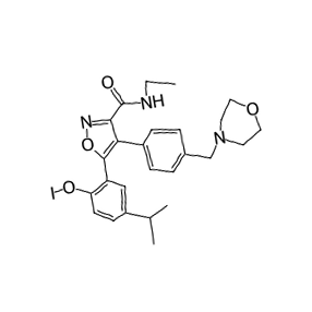 CCNC(=O)c1noc(-c2cc(C(C)C)ccc2OI)c1-c1ccc(CN2CCOCC2)cc1